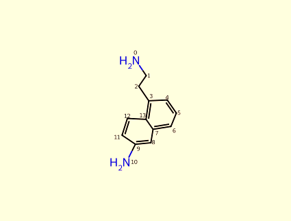 NCCc1cccc2cc(N)ccc12